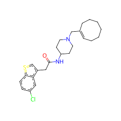 O=C(Cc1csc2ccc(Cl)cc12)NC1CCN(C/C2=C/CCCCCC2)CC1